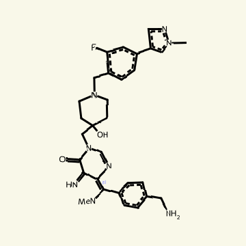 CN/C(=C1/N=CN(CC2(O)CCN(Cc3ccc(-c4cnn(C)c4)cc3F)CC2)C(=O)C1=N)c1ccc(CN)cc1